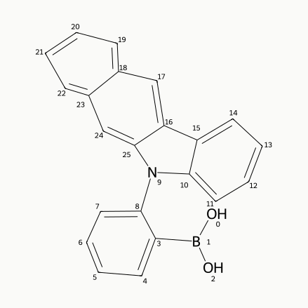 OB(O)c1ccccc1-n1c2ccccc2c2cc3ccccc3cc21